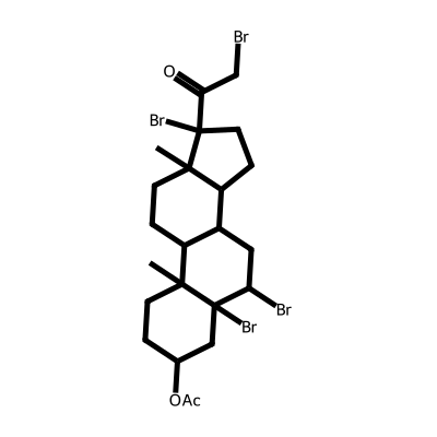 CC(=O)OC1CCC2(C)C3CCC4(C)C(CCC4(Br)C(=O)CBr)C3CC(Br)C2(Br)C1